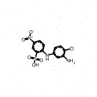 Nc1cc(Nc2ccc([N+](=O)[O-])cc2S(=O)(=O)O)ccc1Cl